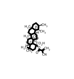 C=C(C#N)C(=O)OC1(C(=O)O)CCC(C)(C)[C@@H]2CC[C@]3(C)[C@H](CC[C@@H]4[C@@H]5[C@@H](C)[C@H](C)CC[C@]5(C)CC[C@]43C)[C@]21C